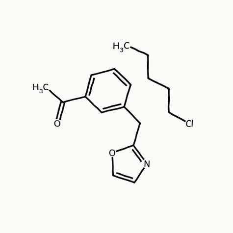 CC(=O)c1cccc(Cc2ncco2)c1.CCCCCCl